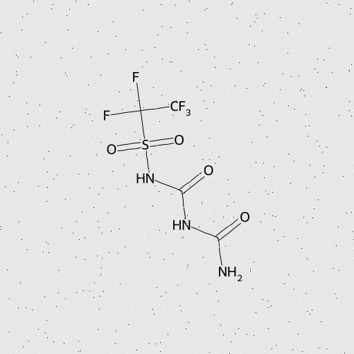 NC(=O)NC(=O)NS(=O)(=O)C(F)(F)C(F)(F)F